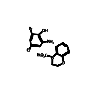 CCOC(=O)N1CCOc2ccccc21.Nc1cc(Cl)cc(Br)c1O